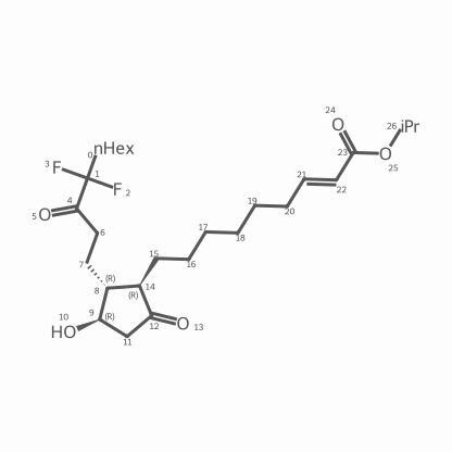 CCCCCCC(F)(F)C(=O)CC[C@H]1[C@H](O)CC(=O)[C@@H]1CCCCCCC=CC(=O)OC(C)C